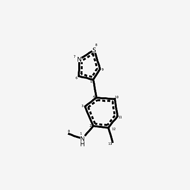 CNc1cc(-c2cnsc2)ccc1C